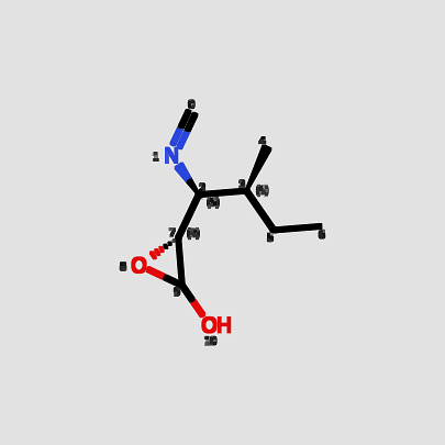 C=N[C@@H]([C@@H](C)CC)[C@H]1OC1O